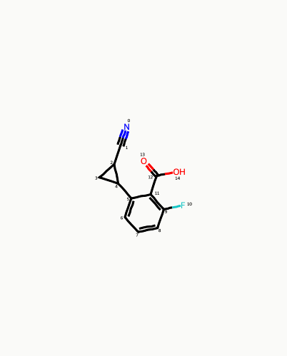 N#CC1CC1c1cccc(F)c1C(=O)O